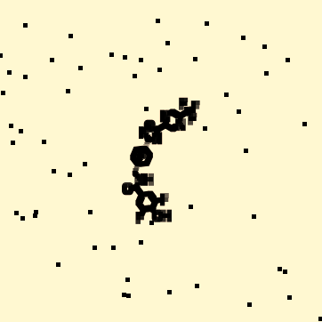 O=C(NC[C@]12CC[C@](c3noc(-c4cnc(C(F)(F)F)cn4)n3)(CC1)CC2)c1cc(F)c(O)c(F)c1